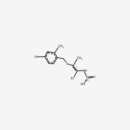 CC/C(N[PH](=O)O)=C(/C)SCc1ccc(Cl)cc1C